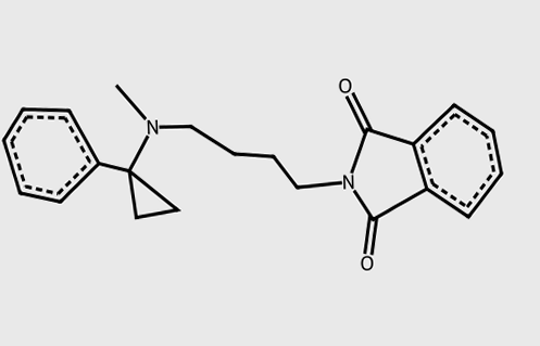 CN(CCCCN1C(=O)c2ccccc2C1=O)C1(c2ccccc2)CC1